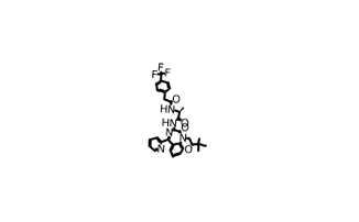 C[C@H](NC(=O)Cc1ccc(C(F)(F)F)cc1)C(=O)NC1N=C(c2ccccn2)c2ccccc2N(CC(=O)C(C)(C)C)C1=O